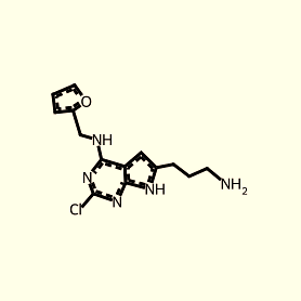 NCCCc1cc2c(NCc3ccco3)nc(Cl)nc2[nH]1